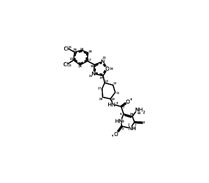 C=C1NC(=O)NC(C(=O)NC2CCC(c3nc(-c4ccc(Cl)c(Cl)c4)no3)CC2)=C1N